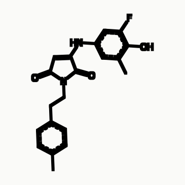 Cc1ccc(CCN2C(=O)C=C(Nc3cc(C)c(O)c(F)c3)C2=O)cc1